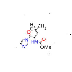 COC(=O)N[C@@H](C=C(C)C)C(=O)n1ccnc1